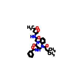 CC(=O)C[C@@H](C=O)NC(=O)CN1C(=O)[C@@H](NC(=O)c2ccccc2)CN(C(=O)CC(C)C)c2ccccc21